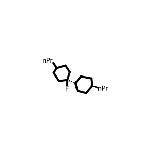 CCCC1CCC(F)([C@H]2CC[C@H](CCC)CC2)CC1